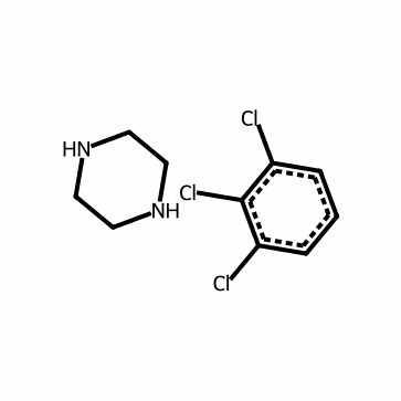 C1CNCCN1.Clc1cccc(Cl)c1Cl